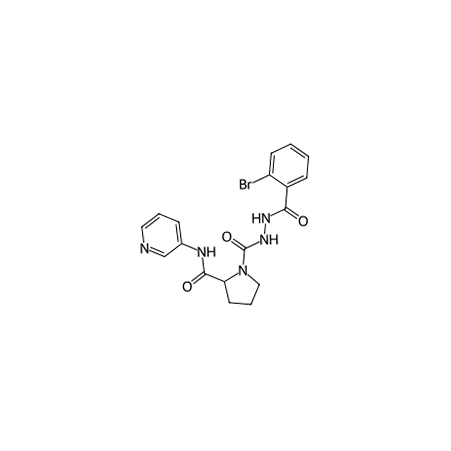 O=C(NNC(=O)N1CCCC1C(=O)Nc1cccnc1)c1ccccc1Br